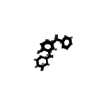 Fc1cnc(Nc2ccccc2)nc1NC1CCCNC1